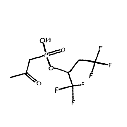 CC(=O)CP(=O)(O)OC(CC(F)(F)F)C(F)(F)F